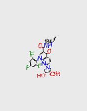 CC(C)(C)NC(=O)c1cn(-c2c(F)cc(F)cc2F)c2nc(N3C[C@@H](O)[C@H](O)C3)ccc2c1=O